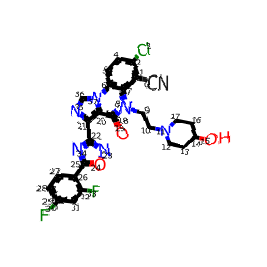 N#Cc1c(Cl)ccc2c1n(CCN1CCC(O)CC1)c(=O)c1c(-c3noc(-c4ccc(F)cc4F)n3)ncn12